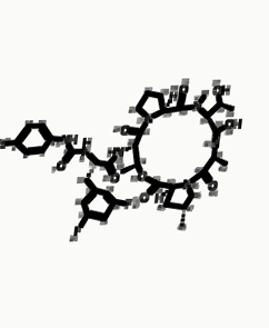 CCc1ccc(NC(=O)N[C@@H](Cc2cc(F)cc(F)c2)C(=O)N[C@@H]2C(=O)N3CCC[C@H]3C(=O)N(C)[C@@H]([C@H](C)O)C(O)N[C@@H](C)C(=O)N3C[C@H](C)C[C@H]3C(=O)O[C@H]2C)cc1